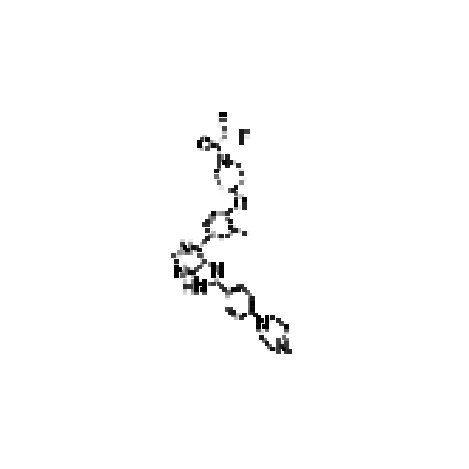 Cc1cc(-c2ncnc3[nH]c(-c4ccc(N5CCN(C)CC5)cc4)nc23)ccc1OC1CCN(C(=O)C(F)F)CC1